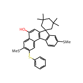 CSc1ccc2c(c1)C1(CC(C)(C)CC(C)(C)C1)c1cc(O)c3cc(SC)c(Sc4ccccc4)cc3c1-2